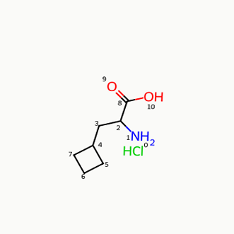 Cl.NC(CC1CCC1)C(=O)O